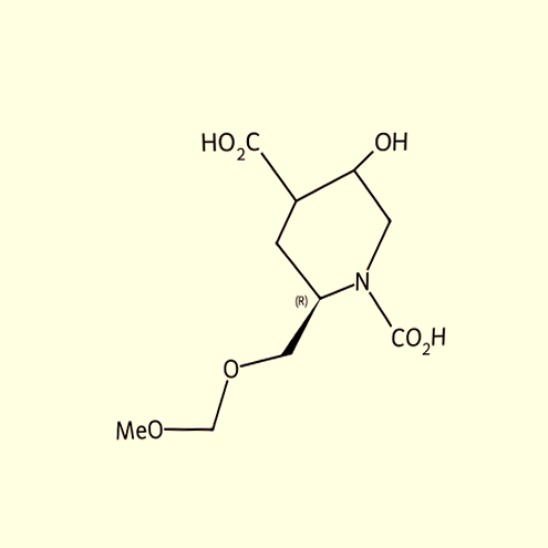 COCOC[C@H]1CC(C(=O)O)C(O)CN1C(=O)O